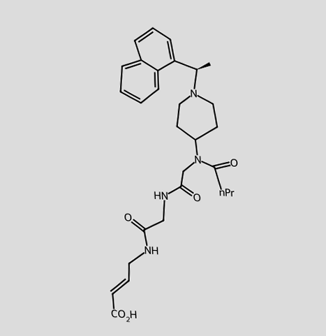 CCCC(=O)N(CC(=O)NCC(=O)NC/C=C/C(=O)O)C1CCN([C@H](C)c2cccc3ccccc23)CC1